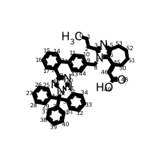 CCCc1nc2c(n1Cc1ccc(-c3ccccc3-c3nnn(C(c4ccccc4)(c4ccccc4)c4ccccc4)n3)cc1)C(=CC(=O)O)CCCC2